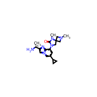 C[C@@H](N)c1cn2cc(C3CC3)cc(N3CC4(CN(C)C4)N(C)C3=O)c2n1